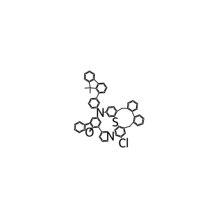 CC1(C)c2ccccc2-c2cccc(-c3cccc(N(c4ccc5c(c4)Sc4ccc(Cl)cc4Cc4ccccc4-c4ccccc4C5)c4cc(-c5cccnc5)c5oc6ccccc6c5c4)c3)c21